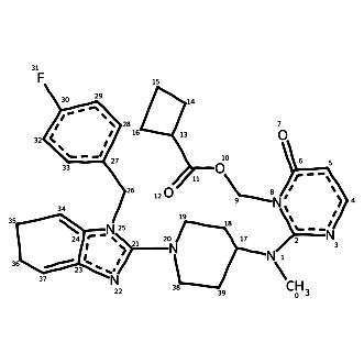 CN(c1nccc(=O)n1COC(=O)C1CCC1)C1CCN(c2nc3c(n2Cc2ccc(F)cc2)=CCCC=3)CC1